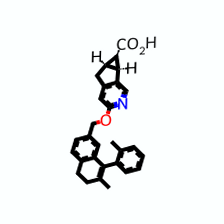 CC1=C(c2ccccc2C)c2cc(COc3cc4c(cn3)[C@H]3[C@@H](C4)[C@@H]3C(=O)O)ccc2CC1